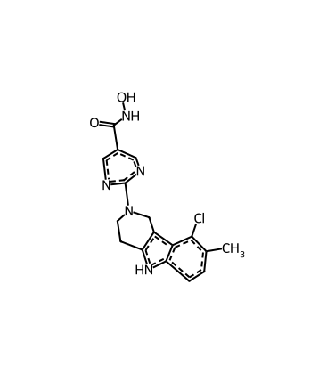 Cc1ccc2[nH]c3c(c2c1Cl)CN(c1ncc(C(=O)NO)cn1)CC3